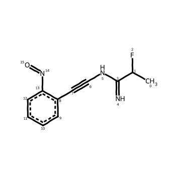 CC(F)C(=N)NC#Cc1ccccc1N=O